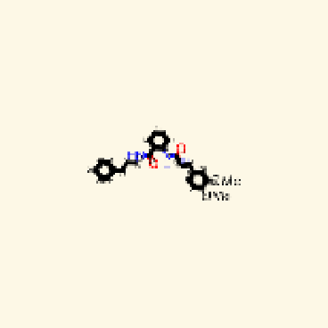 COc1ccc(/C=C/C(=O)Nc2ccccc2C(=O)NCCCc2ccccc2)cc1OC